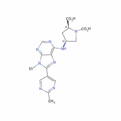 CCn1c(-c2cnc(C)nc2)nc2c(N[C@H]3C[C@@H](C(=O)O)N(C(=O)O)C3)ncnc21